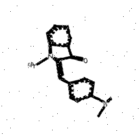 CCCN1/C(=C/c2ccc(N(C)C)cc2)C(=O)c2ccccc21